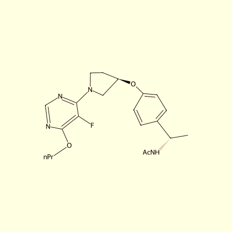 CCCOc1ncnc(N2CC[C@@H](Oc3ccc([C@H](C)NC(C)=O)cc3)C2)c1F